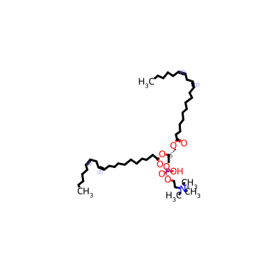 CCCCC/C=C\C/C=C\CCCCCCCCCC(=O)OC[C@H](COP(=O)(O)OCC[N+](C)(C)C)OC(=O)CCCCCCCCC/C=C\C/C=C\CCCCC